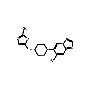 Cc1nnc(S[C@H]2CC[C@@H](c3cn4ncnc4cc3C)CC2)o1